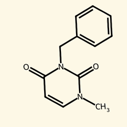 Cn1ccc(=O)n(Cc2ccccc2)c1=O